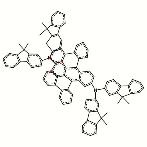 CC1(C)C2=C(C=CC(N(c3ccc4c(c3)C(C)(C)c3ccccc3-4)c3ccc4c(-c5ccccc5-c5ccccc5)c5cc(N(c6ccc7c(c6)C(C)(C)c6ccccc6-7)c6ccc7c(c6)C(C)(C)c6ccccc6-7)ccc5c(-c5ccccc5-c5ccccc5)c4c3)C2)c2ccccc21